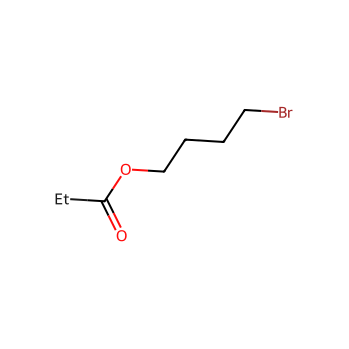 [CH2]CC(=O)OCCCCBr